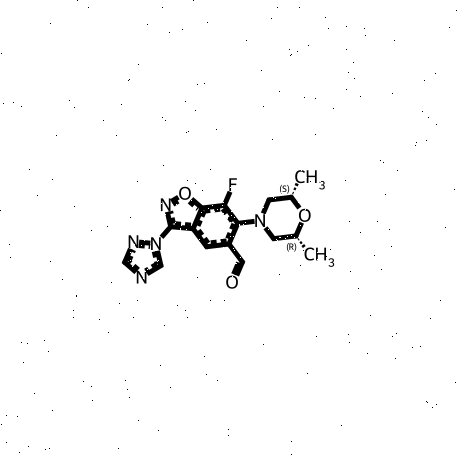 C[C@@H]1CN(c2c(C=O)cc3c(-n4cncn4)noc3c2F)C[C@H](C)O1